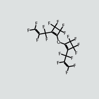 FC(F)=C(F)C(F)(F)C1=C(OC2=C(C(F)(F)C(F)=C(F)F)C(F)(F)C2(F)F)C(F)(F)C1(F)F